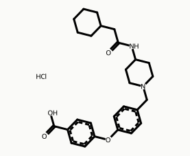 Cl.O=C(CC1CCCCC1)NC1CCN(Cc2ccc(Oc3ccc(C(=O)O)cc3)cc2)CC1